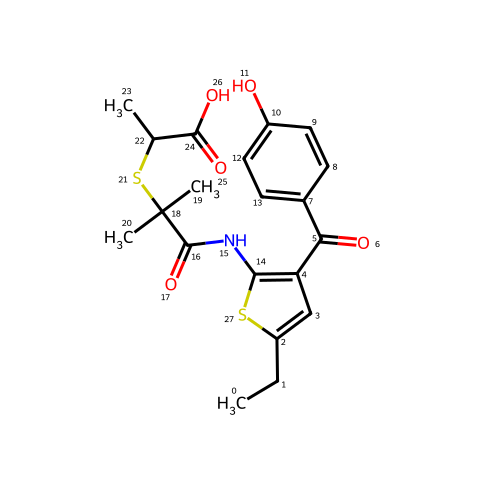 CCc1cc(C(=O)c2ccc(O)cc2)c(NC(=O)C(C)(C)SC(C)C(=O)O)s1